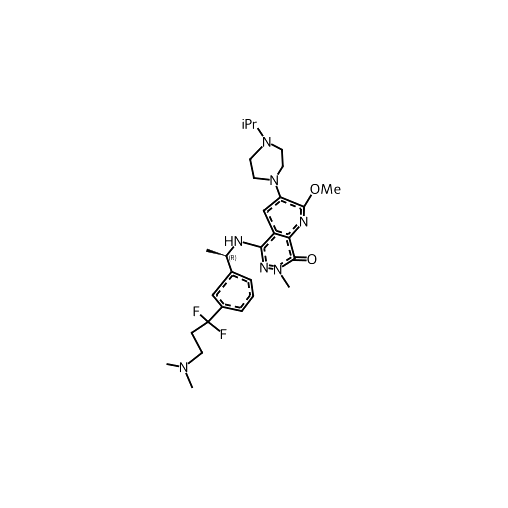 COc1nc2c(=O)n(C)nc(N[C@H](C)c3cccc(C(F)(F)CCN(C)C)c3)c2cc1N1CCN(C(C)C)CC1